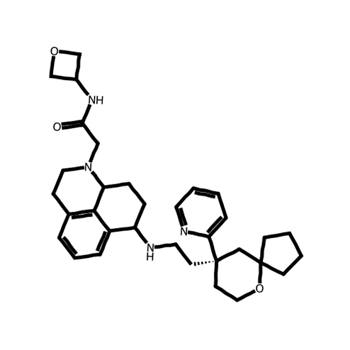 O=C(CN1CCc2cccc3c2C1CCC3NCC[C@@]1(c2ccccn2)CCOC2(CCCC2)C1)NC1COC1